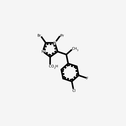 CC(c1ccc(Cl)c(F)c1)c1c(C(=O)O)nc(Br)n1C(C)C